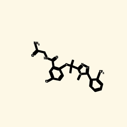 Cn1c(-c2ccccc2C(F)(F)F)nnc1C(C)(C)Oc1ccc(Cl)cc1C(=O)NCC(N)=O